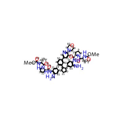 COC(=O)N[C@H](C(=O)N1CCC[C@H]1C(=O)Nc1ccc([C@H]2CC[C@H](c3ccc(NC(=O)[C@@H]4CCCN4C(=O)[C@@H](NC(=O)OC)C(C)C)c(N)c3)C2c2cccc(-c3ccc(N4CCOCC4)nc3)c2)cc1N)C(C)C